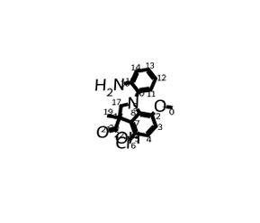 COc1ccc(Cl)c2c1N(c1ccccc1N)CC2(C)C(=O)O